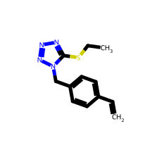 C=Cc1ccc(Cn2nnnc2SCC)cc1